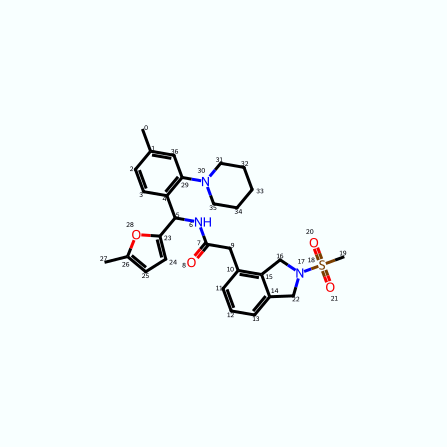 Cc1ccc(C(NC(=O)Cc2cccc3c2CN(S(C)(=O)=O)C3)c2ccc(C)o2)c(N2CCCCC2)c1